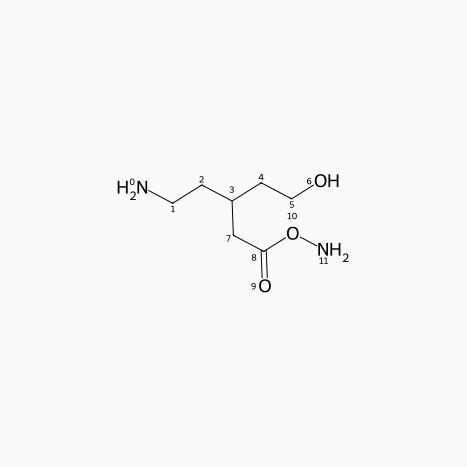 NCCC(CCO)CC(=O)ON